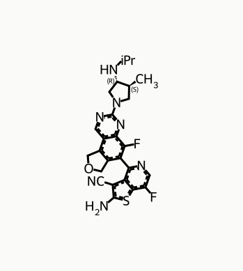 CC(C)N[C@H]1CN(c2ncc3c4c(c(-c5ncc(F)c6sc(N)c(C#N)c56)c(F)c3n2)COC4)C[C@@H]1C